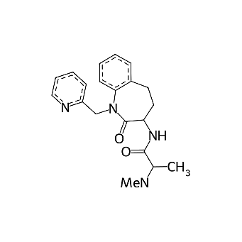 CNC(C)C(=O)NC1CCc2ccccc2N(Cc2ccccn2)C1=O